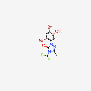 Cc1nn(-c2cc(O)c(Br)cc2Br)c(=O)n1C(F)F